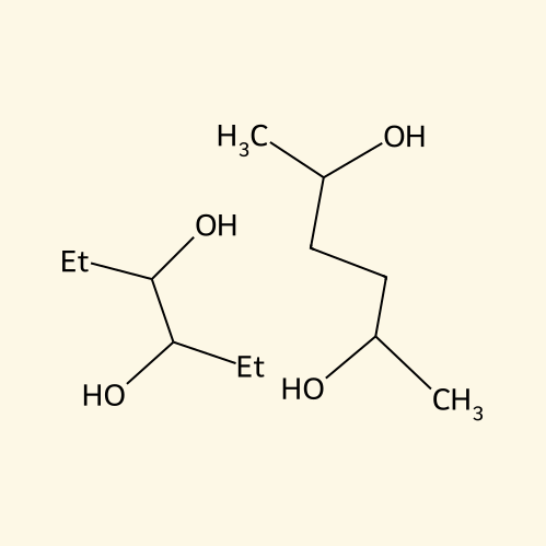 CC(O)CCC(C)O.CCC(O)C(O)CC